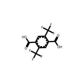 O=C(O)c1cc(C(F)(F)F)c(C(=O)O)cc1C(F)(F)F